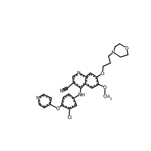 COc1cc2c(Nc3ccc(Oc4ccncc4)c(Cl)c3)c(C#N)cnc2cc1OCCCN1CCOCC1